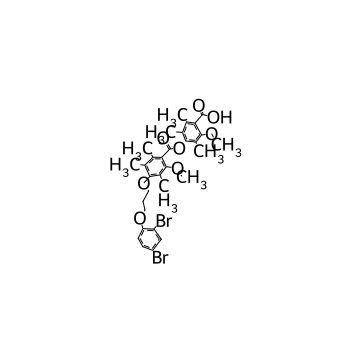 COc1c(C)c(OC(=O)c2c(C)c(C)c(OCCCOc3ccc(Br)cc3Br)c(C)c2OC)c(C)c(C)c1C(=O)O